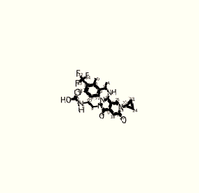 Cc1c(C(C)Nc2nn(CCNC(=O)O)c(=O)c3cc(=O)n(C4CC4)cc23)cccc1C(F)(F)F